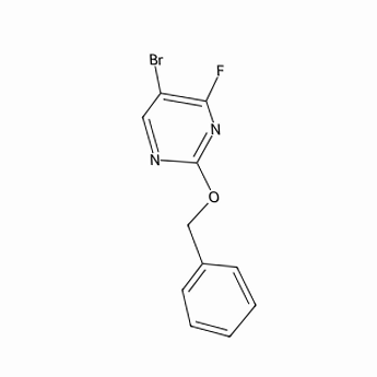 Fc1nc(OCc2ccccc2)ncc1Br